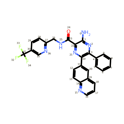 Nc1nc(-c2ccccc2)c(-c2ccc3ncccc3c2)nc1C(=O)NCc1ccc(C(F)(F)F)cn1